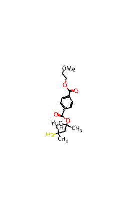 COCCOC(=O)c1ccc(C(=O)OC(C)(C)CC(C)(C)S)cc1